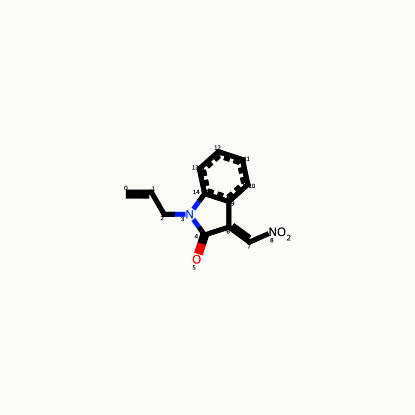 C=CCN1C(=O)/C(=C/[N+](=O)[O-])c2ccccc21